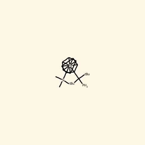 CC(C)(C)C(P)(C(C)(C)C)[C]12[CH]3[CH]4[CH]5[C]1([Si](C)(C)C)[Fe]43521678[CH]2[CH]1[CH]6[CH]7[CH]28